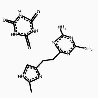 Cc1nc(CCc2nc(N)nc(N)n2)c[nH]1.O=c1[nH]c(=O)[nH]c(=O)[nH]1